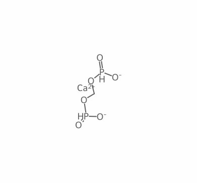 O=[PH]([O-])OCO[PH](=O)[O-].[Ca+2]